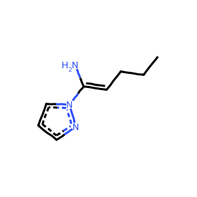 CCC/C=C(\N)n1cccn1